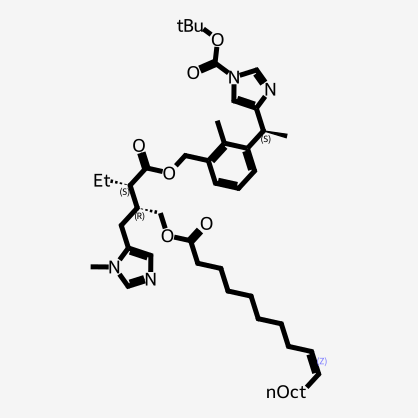 CCCCCCCC/C=C\CCCCCCCC(=O)OC[C@H](Cc1cncn1C)[C@H](CC)C(=O)OCc1cccc([C@H](C)c2cn(C(=O)OC(C)(C)C)cn2)c1C